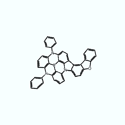 c1ccc(N2c3cccc4c3B3c5c2cccc5-n2c5ccc6oc7ccccc7c6c5c5ccc(c3c52)N4c2ccccc2)cc1